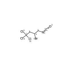 O=C=NCC(Br)CC(Cl)(Cl)Cl